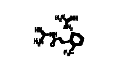 N=C(N)N.N=C(N)NC(=O)C=Cc1ccccc1C(F)(F)F